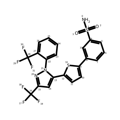 NS(=O)(=O)c1cccc(-c2ccc(-c3cc(C(F)(F)F)nn3-c3ccccc3C(F)(F)F)s2)c1